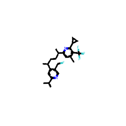 Cc1cc(C(C)CCC(C)c2cc(C(C)C)ncc2CF)nc(C2CC2)c1C(F)(F)F